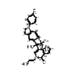 OCCN1C=C(C(O)(c2ccc3c(cnn3-c3ccc(F)cc3)c2)C(F)(F)F)c2[nH]ccc2C1Cl